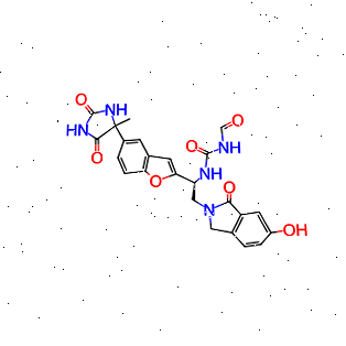 CC1(c2ccc3oc([C@H](CN4Cc5ccc(O)cc5C4=O)NC(=O)NC=O)cc3c2)NC(=O)NC1=O